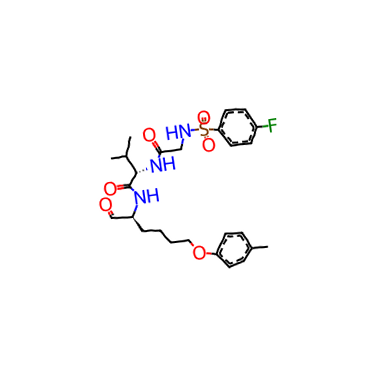 Cc1ccc(OCCCC[C@@H](C=O)NC(=O)[C@@H](NC(=O)CNS(=O)(=O)c2ccc(F)cc2)C(C)C)cc1